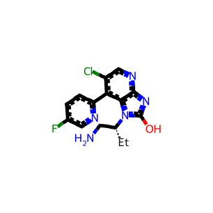 CC[C@H](CN)n1c(O)nc2ncc(Cl)c(-c3ccc(F)cn3)c21